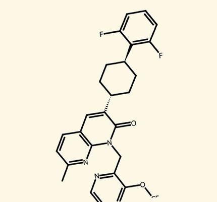 Cc1ccc2cc([C@H]3CC[C@H](c4c(F)cccc4F)CC3)c(=O)n(Cc3ncccc3OC(F)(F)F)c2n1